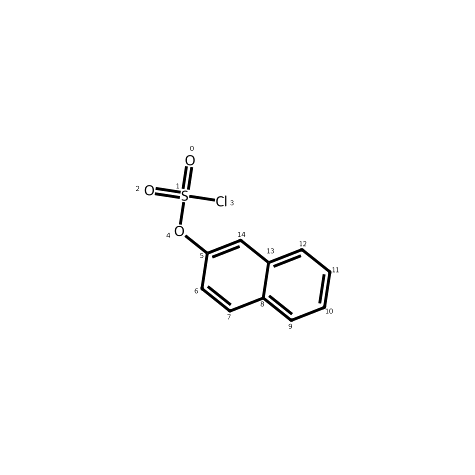 O=S(=O)(Cl)Oc1ccc2ccccc2c1